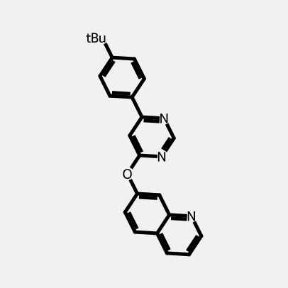 CC(C)(C)c1ccc(-c2cc(Oc3ccc4cccnc4c3)ncn2)cc1